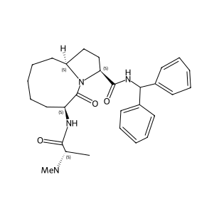 CN[C@@H](C)C(=O)N[C@H]1CCCCC[C@H]2CC[C@@H](C(=O)NC(c3ccccc3)c3ccccc3)N2C1=O